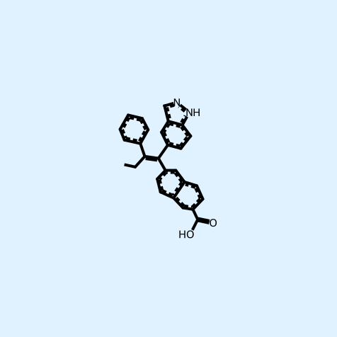 CC/C(=C(\c1ccc2cc(C(=O)O)ccc2c1)c1ccc2[nH]ncc2c1)c1ccccc1